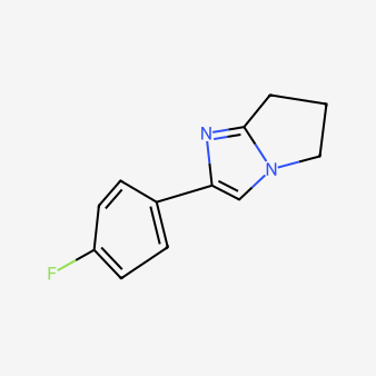 Fc1ccc(-c2cn3c(n2)CCC3)cc1